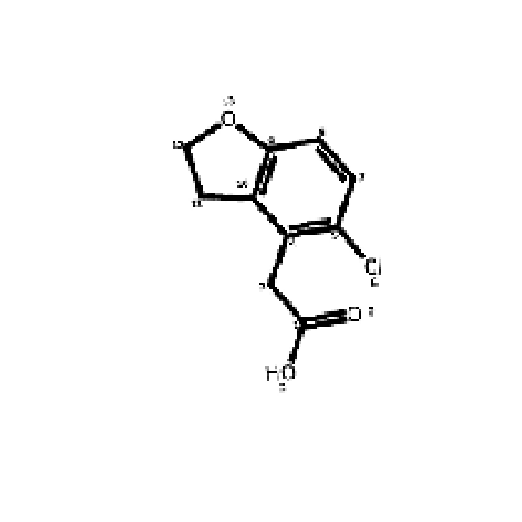 O=C(O)Cc1c(Cl)ccc2c1CCO2